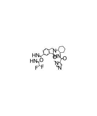 Cn1cncc1C(=O)N[C@@H]1CCCCC1N1Cc2ccc(C(=N)OC(=N)C(F)F)cc2C1=O